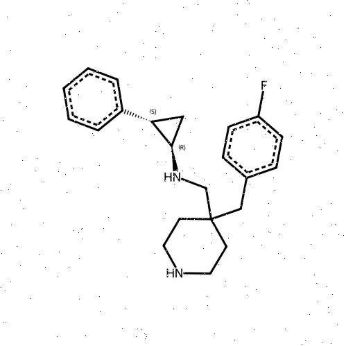 Fc1ccc(CC2(CN[C@@H]3C[C@H]3c3ccccc3)CCNCC2)cc1